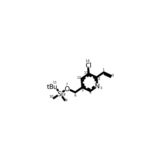 C=Cc1ncc(CO[Si](C)(C)C(C)(C)C)cc1Cl